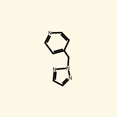 c1cc(Cn2nccn2)ccn1